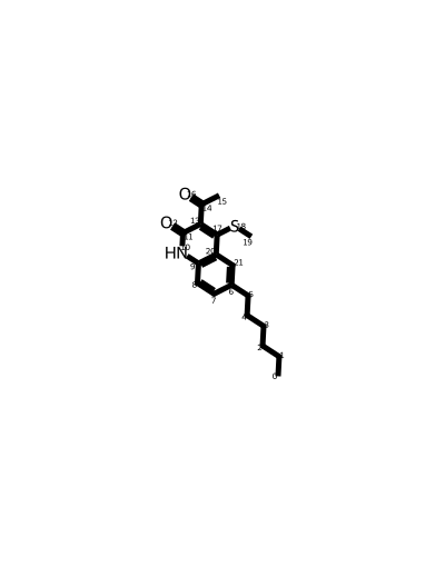 CCCCCCc1ccc2[nH]c(=O)c(C(C)=O)c(SC)c2c1